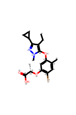 CCc1c(C2CC2)nn(C)c1Oc1cc(O[C@@H](C)C(=O)O)c(Br)cc1C